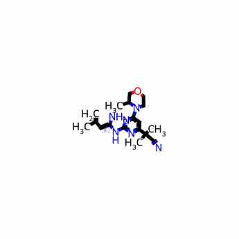 C=C(C)/C=C(\N)Nc1nc(N2CCOCC2C)cc(C(C)(C)C#N)n1